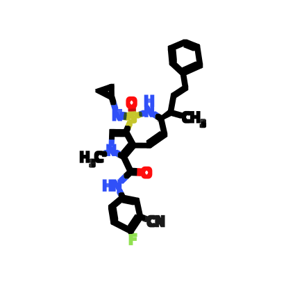 CC(CCc1ccccc1)[C@H]1C=Cc2c(cn(C)c2C(=O)Nc2ccc(F)c(C#N)c2)S(=O)(=NC2CC2)N1